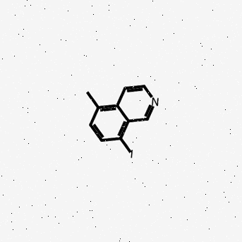 Cc1ccc(I)c2cnccc12